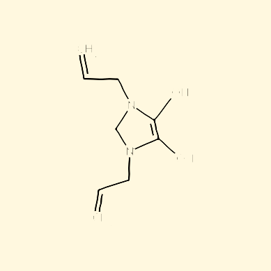 C=CCN1CN(CC=C)C(O)=C1O